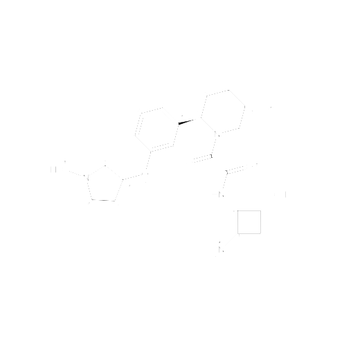 CC1CC(N)[C@@H]1NC(=O)C(=O)N1C[C@@H](C)CC[C@@H]1c1cccc(OC2CCN(C)C2)c1